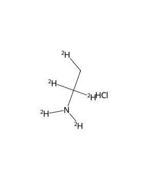 Cl.[2H]CC([2H])([2H])N([2H])[2H]